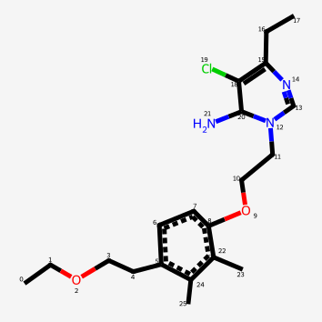 CCOCCc1ccc(OCCN2C=NC(CC)=C(Cl)C2N)c(C)c1C